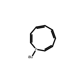 CCC(C)p1cccccccc1